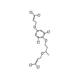 CC(CCOc1c(Cl)cc(OCC=C(Cl)Cl)cc1Cl)OCC=C(Cl)Cl